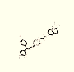 O=C1CCc2cc(OCCCN3CCN(CCCC(c4ccc(F)cc4)c4ccc(F)cc4)CC3)ccc2N1